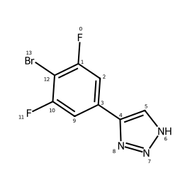 Fc1cc(-c2c[nH]nn2)cc(F)c1Br